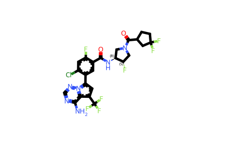 Nc1ncnn2c(-c3cc(C(=O)N[C@@H]4CN(C(=O)C5CCC(F)(F)C5)C[C@@H]4F)c(F)cc3Cl)cc(C(F)(F)F)c12